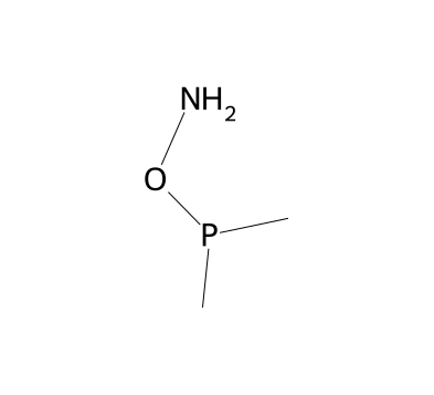 CP(C)ON